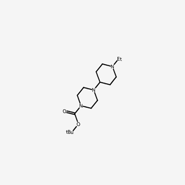 CCN1CCC(N2CCN(C(=O)OC(C)(C)C)CC2)CC1